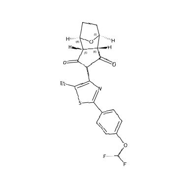 CCc1sc(-c2ccc(OC(F)F)cc2)nc1C1C(=O)[C@@H]2[C@H](C1=O)[C@H]1CC[C@@H]2O1